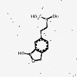 CC(C)(C)N(CCc1ccc2c(c1)B(O)OC2)C(=O)O